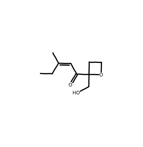 CCC(C)=CC(=O)C1(CO)CCO1